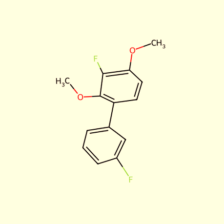 COc1ccc(-c2cccc(F)c2)c(OC)c1F